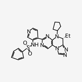 CC[C@@H]1c2nncn2-c2cnc(-c3ccncc3NS(=O)(=O)c3ccccc3)nc2N1C1CCCC1